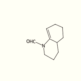 O=CN1CCCC2CCCC=C21